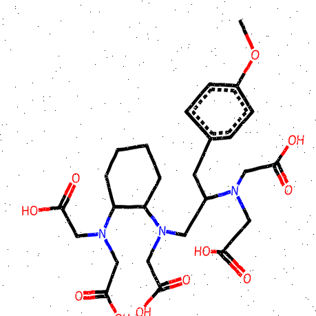 COc1ccc(CC(CN(CC(=O)O)C2CCCCC2N(CC(=O)O)CC(=O)O)N(CC(=O)O)CC(=O)O)cc1